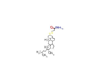 CC(C)CCC[C@@H](C)[C@H]1CCC2C3CC=C4C[C@@H](SSCCC(N)=O)CC[C@]4(C)C3CC[C@@]21C